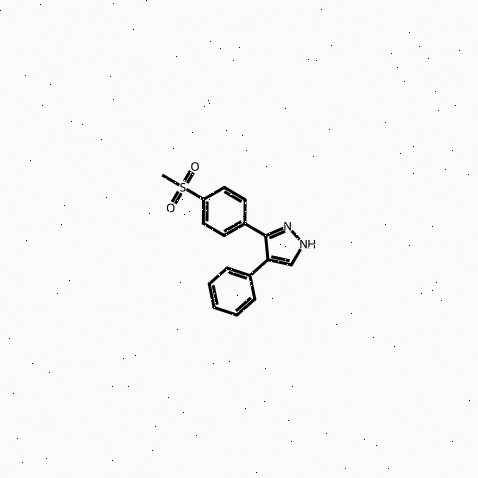 CS(=O)(=O)c1ccc(-c2n[nH]cc2-c2ccccc2)cc1